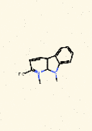 CN1c2ccccc2C2C=CC(C(F)(F)F)=[N+](C)C21